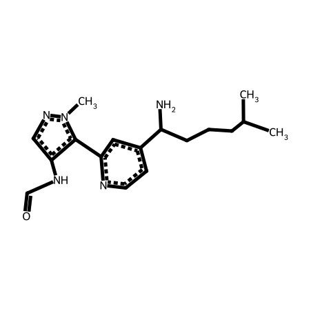 CC(C)CCCC(N)c1ccnc(-c2c(NC=O)cnn2C)c1